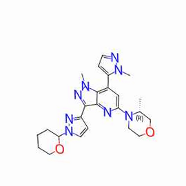 C[C@@H]1COCCN1c1cc(-c2ccnn2C)c2c(n1)c(-c1ccn(C3CCCCO3)n1)nn2C